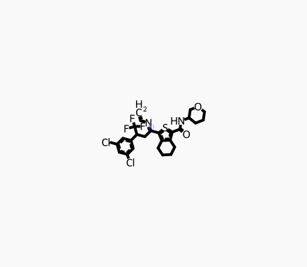 C=C/N=C(\CC(c1cc(Cl)cc(Cl)c1)C(F)(F)F)c1sc(C(=O)NC2CCCOC2)c2c1CCCC2